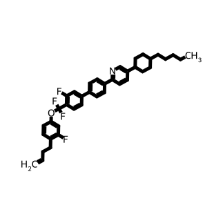 C=CCCc1ccc(OC(F)(F)c2ccc(-c3ccc(-c4ccc(C5CCC(CCCCC)CC5)cn4)cc3)cc2F)cc1F